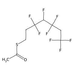 CC(=O)SCCC(F)(F)C(F)C(F)(F)CC(F)(F)F